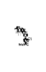 CNC(=O)c1ccc(N2CCN(Cc3ccc4c([nH]c(=O)c5c(F)cnn54)c3F)CC2)c(C#N)n1